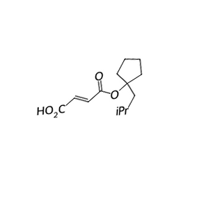 CC(C)CC1(OC(=O)C=CC(=O)O)CCCC1